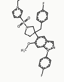 CCn1ccc(S(=O)(=O)N2CCC(Cc3ccc(F)cc3)(c3cc4cnn(-c5ccc(F)cc5)c4cc3OC)C2)c1